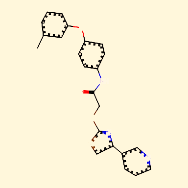 Cc1cccc(Oc2ccc(NC(=O)CSc3nc(-c4cccnc4)cs3)cc2)c1